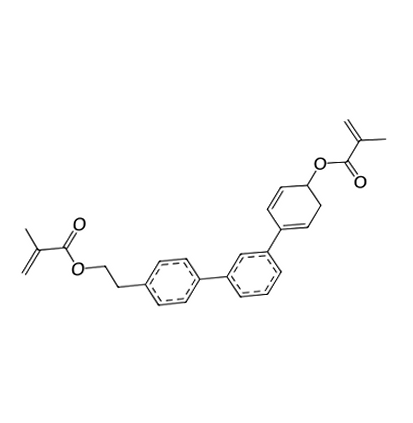 C=C(C)C(=O)OCCc1ccc(-c2cccc(C3=CCC(OC(=O)C(=C)C)C=C3)c2)cc1